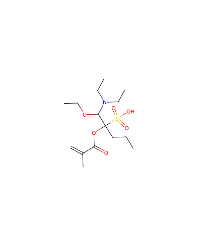 C=C(C)C(=O)OC(CCC)(C(OCC)N(CC)CC)S(=O)(=O)O